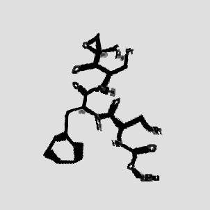 CC(C)CC(NC(=O)OC(C)(C)C)C(=O)N[C@@H](Cc1ccccc1)C(=O)NC(CC(C)C)C(=O)[C@@]1(C)CO1